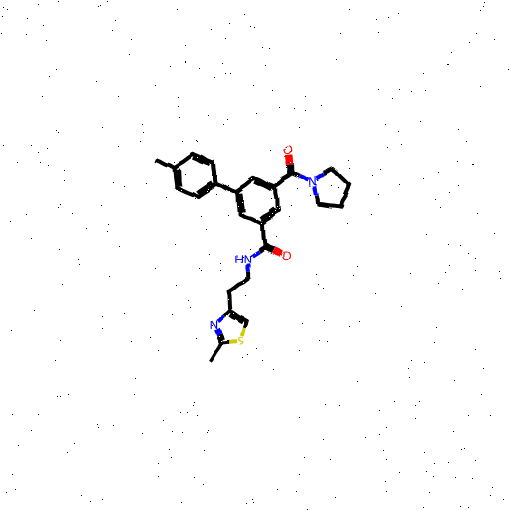 Cc1ccc(-c2cc(C(=O)NCCc3csc(C)n3)cc(C(=O)N3CCCC3)c2)cc1